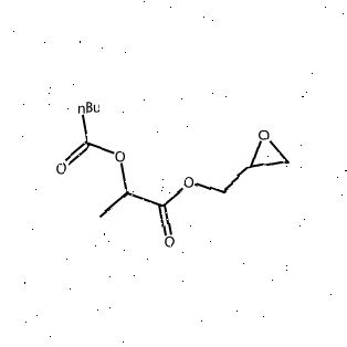 CCCCC(=O)OC(C)C(=O)OCC1CO1